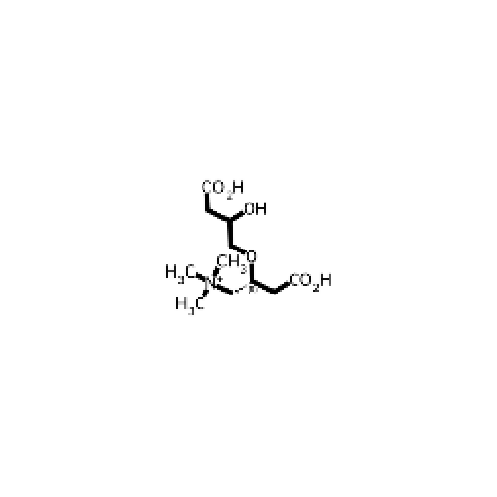 C[N+](C)(C)C[C@@H](CC(=O)O)OCC(O)CC(=O)O